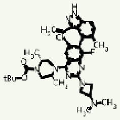 C=Cc1n[nH]c2ccc(C)c(-c3c(Cl)cc4c(N5C[C@@H](C)N(C(=O)OC(C)(C)C)C[C@@H]5C)nc(N5CC(N(C)C)C5)nc4c3F)c12